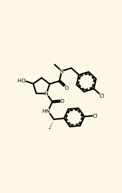 C[C@H](NC(=O)N1CC(O)CC1C(=O)N(C)Cc1ccc(Cl)cc1)c1ccc(Cl)cc1